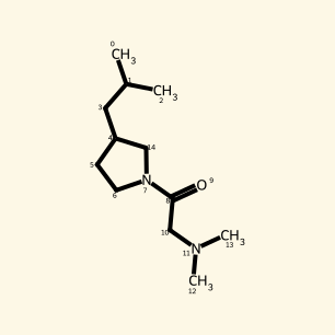 CC(C)CC1CCN(C(=O)CN(C)C)C1